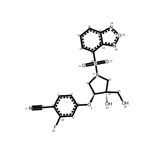 N#Cc1ccc(O[C@H]2CN(S(=O)(=O)c3cccc4nonc34)C[C@@]2(O)CO)cc1F